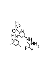 Cc1cc(C)nc(Nc2cc(NCC(N)C(F)F)cnc2C(N)=O)c1